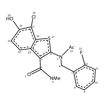 CNC(=O)c1c(N(Cc2ccccc2F)C(C)=O)sc2c(Cl)c(O)ccc12